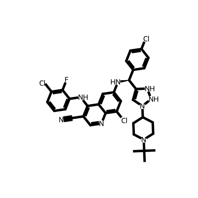 CC(C)(C)N1CCC(N2C=C([C@@H](Nc3cc(Cl)c4ncc(C#N)c(Nc5cccc(Cl)c5F)c4c3)c3ccc(Cl)cc3)NN2)CC1